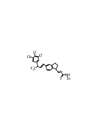 CCNC(=S)/N=C/C1CCc2cc(/C=C/C(c3cc(Cl)c(Cl)c(Cl)c3)C(F)(F)F)ccc21